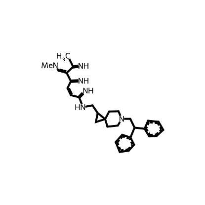 CN/C=C(\C(C)=N)C(=N)/C=C\C(=N)NCC1CC12CCN(CC(c1ccccc1)c1ccccc1)CC2